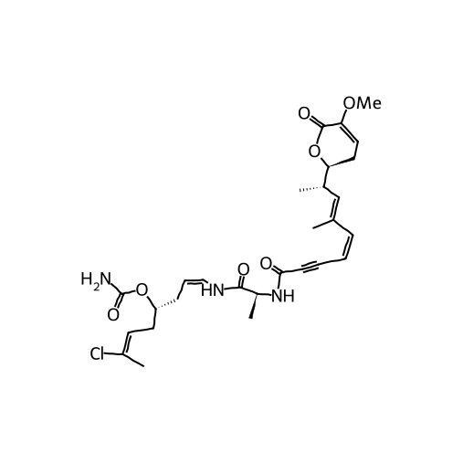 COC1=CC[C@@H]([C@@H](C)/C=C(C)/C=C\C#CC(=O)N[C@@H](C)C(=O)N/C=C\C[C@H](C/C=C(\C)Cl)OC(N)=O)OC1=O